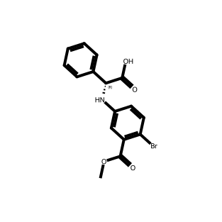 COC(=O)c1cc(N[C@@H](C(=O)O)c2ccccc2)ccc1Br